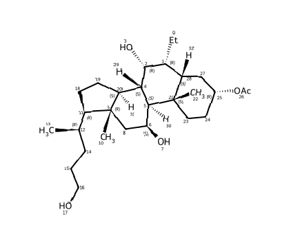 CC[C@H]1[C@@H](O)[C@@H]2[C@H]([C@@H](O)C[C@]3(C)[C@@H]([C@H](C)CCCO)CC[C@@H]23)[C@@]2(C)CC[C@@H](OC(C)=O)C[C@@H]12